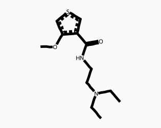 CCN(CC)CCNC(=O)c1cscc1OC